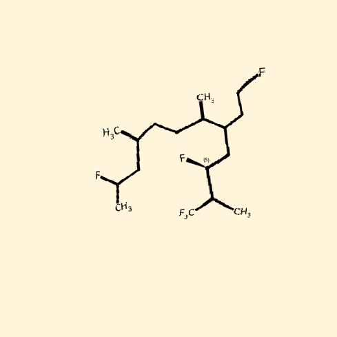 CC(F)CC(C)CCC(C)C(CCF)C[C@H](F)C(C)C(F)(F)F